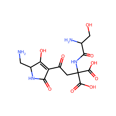 NCC1NC(=O)C(C(=O)CC(NC(=O)C(N)CO)(C(=O)O)C(=O)O)=C1O